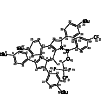 C/C(=C1/N=C(c2ccc(C(C)(C)C)cc2)C=C1c1ccc(C(C)(C)C)cc1)c1c(-c2ccc(C(C)(C)C)cc2)cc(-c2ccc(C(C)(C)C)cc2)n1B(OCC(F)(F)C(F)(F)F)c1ccc(C(F)(F)F)cc1